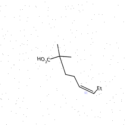 CC/C=C\CCC(C)(C)C(=O)O